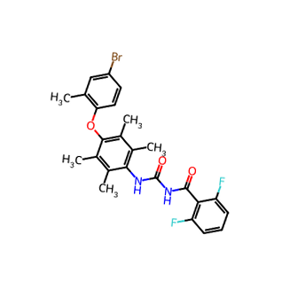 Cc1cc(Br)ccc1Oc1c(C)c(C)c(NC(=O)NC(=O)c2c(F)cccc2F)c(C)c1C